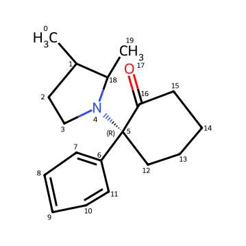 CC1CCN([C@@]2(c3ccccc3)CCCCC2=O)C1C